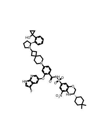 CC1(C)CCC([C@H]2COc3cc(S(=O)(=O)NC(=O)c4ccc(N5CCC6(CC5)CC(N5CCC[C@H]5c5ccccc5C5(O)CC5)C6)cc4Oc4cnc5[nH]cc(F)c5c4)cc([N+](=O)[O-])c3N2)CC1